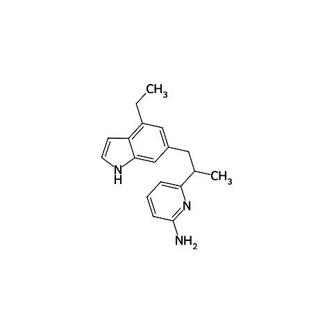 CCc1cc(CC(C)c2cccc(N)n2)cc2[nH]ccc12